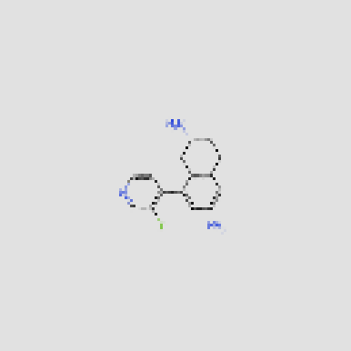 N.N[C@@H]1CCc2cccc(-c3ccncc3F)c2C1